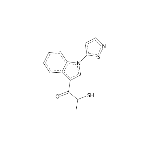 CC(S)C(=O)c1cn(-c2ccns2)c2ccccc12